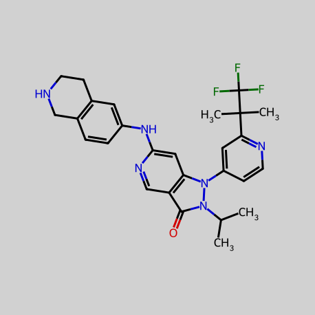 CC(C)n1c(=O)c2cnc(Nc3ccc4c(c3)CCNC4)cc2n1-c1ccnc(C(C)(C)C(F)(F)F)c1